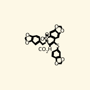 O=C(O)C1=C(Sc2ccc3c(c2)OCO3)c2cc3c(cc2S(=O)(=O)N1Cc1ccc2c(c1)OCO2)OCO3